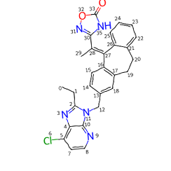 CCc1nc2c(Cl)ccnc2n1Cc1ccc2c(c1)CCc1ccccc1/C2=C(/C)c1noc(=O)[nH]1